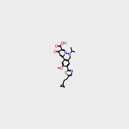 COc1cc2c(cc1-c1ncc(CCC3CC3)s1)CN(C(C)C)n1cc(C(=O)O)c(=O)cc1-2